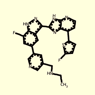 CCNCc1cncc(-c2cc(F)c3[nH]nc(-c4nc5c(-c6ccc(F)s6)ccnc5[nH]4)c3c2)c1